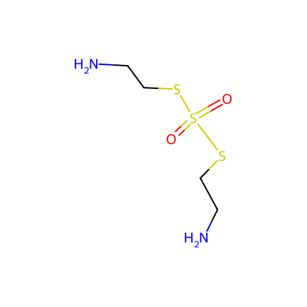 NCCSS(=O)(=O)SCCN